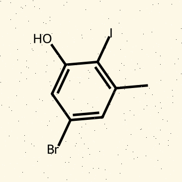 Cc1cc(Br)cc(O)c1I